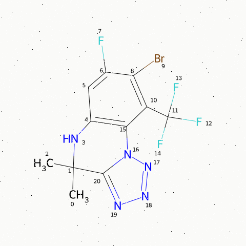 CC1(C)Nc2cc(F)c(Br)c(C(F)(F)F)c2-n2nnnc21